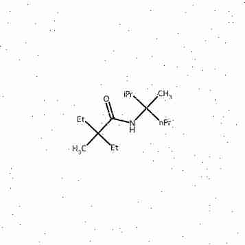 CCCC(C)(NC(=O)C(C)(CC)CC)C(C)C